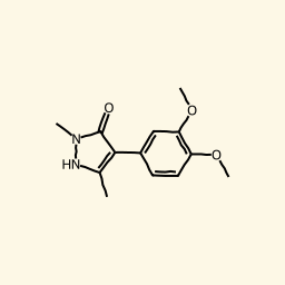 COc1ccc(-c2c(C)[nH]n(C)c2=O)cc1OC